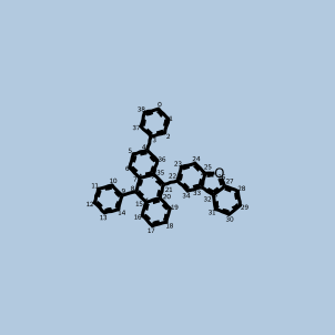 c1ccc(-c2ccc3c(-c4ccccc4)c4ccccc4c(-c4ccc5oc6ccccc6c5c4)c3c2)cc1